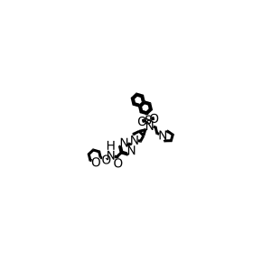 O=C(NOC1CCCCO1)c1cnc(N2CC3C(C2)C3N(CCN2CCCC2)S(=O)(=O)c2ccc3ccccc3c2)nc1